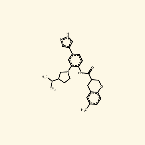 Cc1ccc2c(c1)CC(C(=O)Nc1ccc(-c3cn[nH]c3)cc1N1CCC(N(C)C)C1)CO2